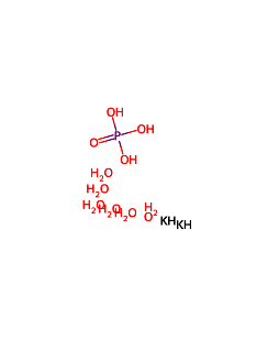 O.O.O.O.O.O.O=P(O)(O)O.[KH].[KH]